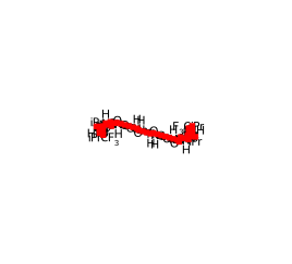 CC(C)C(NC(=O)C1CCCN1C(=O)[C@@H](NC(=O)c1ccc(C(=O)NCCOCCOCCNC(=O)NCCCCNC(=O)NCCOCCOCCNC(=O)c2ccc(C(=O)N[C@H](C(=O)N3CCCC3C(=O)NC(C(=O)C(F)(F)F)C(C)C)C(C)C)cc2)cc1)C(C)C)C(=O)C(F)(F)F